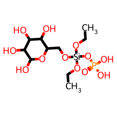 CCO[Si](OCC)(OCC1OC(O)C(O)C(O)C1O)OP(=O)(O)O